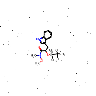 CON(C)C(=O)C(Cc1c[nH]c2ccccc12)O[Si](C)(C)C(C)(C)C